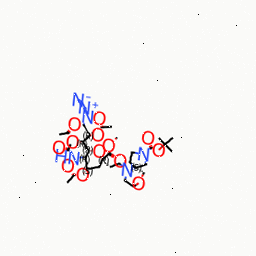 COC(=O)[C@@]1(CCN2CCOC[C@@]23CCN(C(=O)OC(C)(C)C)C3)C[C@H](OC(C)=O)[C@@H](NC(C)=O)[C@H]([C@H](OC(C)=O)[C@@H](CN=[N+]=[N-])OC(C)=O)O1